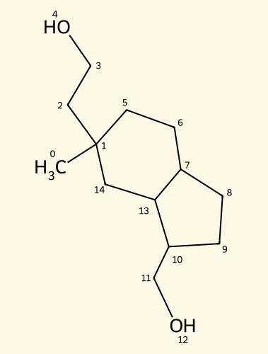 CC1(CCO)CCC2CCC(CO)C2C1